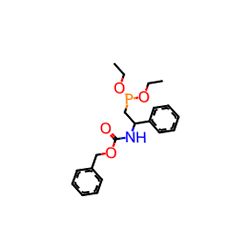 CCOP(CC(NC(=O)OCc1ccccc1)c1ccccc1)OCC